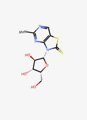 CNc1ncc2sc(=S)n([C@@H]3O[C@H](CO)[C@H](O)[C@H]3O)c2n1